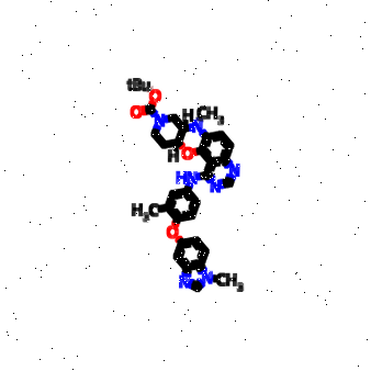 Cc1cc(Nc2ncnc3ccc4c(c23)O[C@@H]2CCN(C(=O)OC(C)(C)C)C[C@@H]2N4C)ccc1Oc1ccc2c(c1)ncn2C